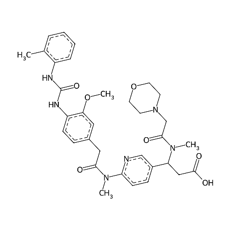 COc1cc(CC(=O)N(C)c2ccc(C(CC(=O)O)N(C)C(=O)CN3CCOCC3)cn2)ccc1NC(=O)Nc1ccccc1C